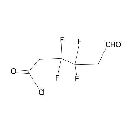 O=CCC(F)(F)C(F)(F)CC(=O)Cl